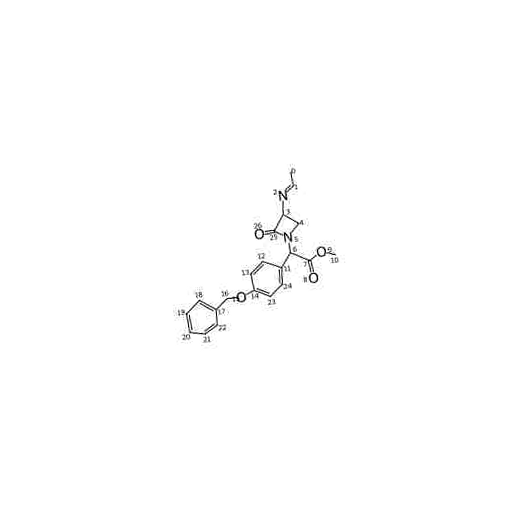 CC=NC1CN(C(C(=O)OC)c2ccc(OCc3ccccc3)cc2)C1=O